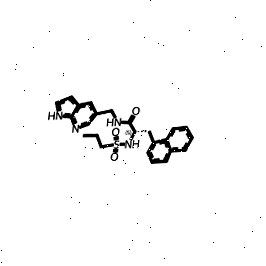 CCCS(=O)(=O)N[C@@H](Cc1cccc2ccccc12)C(=O)NCc1cnc2[nH]ccc2c1